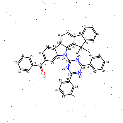 CC1(C)c2ccccc2-c2ccc3c4ccc(C(=O)c5ccccc5)cc4n(-c4nc(-c5ccccc5)nc(-c5ccccc5)n4)c3c21